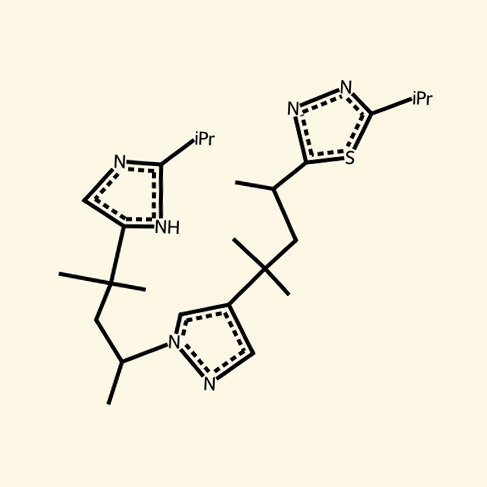 CC(C)c1ncc(C(C)(C)CC(C)n2cc(C(C)(C)CC(C)c3nnc(C(C)C)s3)cn2)[nH]1